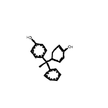 CC(c1ccccc1)(c1ccc(O)cc1)C1C=CC(O)=CC1